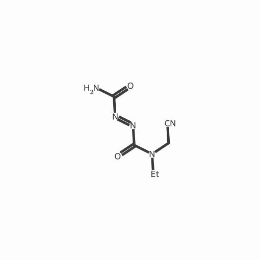 CCN(CC#N)C(=O)N=NC(N)=O